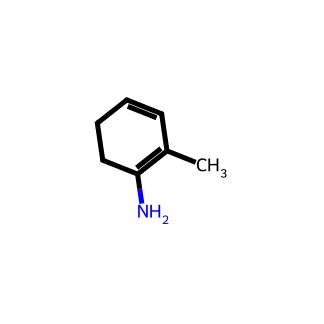 CC1=C(N)CCC=C1